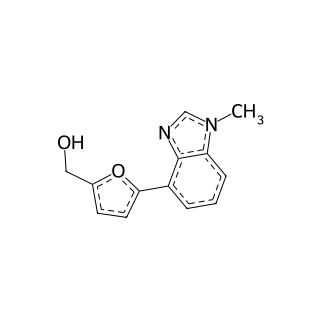 Cn1cnc2c(-c3ccc(CO)o3)cccc21